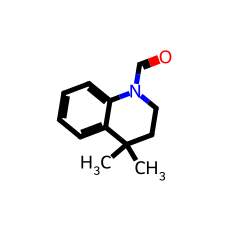 CC1(C)CCN(C=O)c2ccccc21